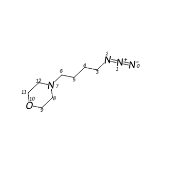 [N-]=[N+]=NCCCCN1CCOCC1